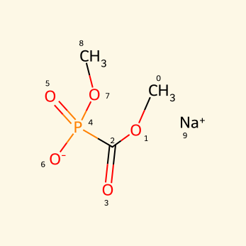 COC(=O)P(=O)([O-])OC.[Na+]